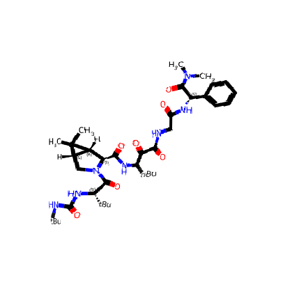 CCCCC(NC(=O)[C@@H]1[C@@H]2[C@H](CN1C(=O)[C@@H](NC(=O)NC(C)(C)C)C(C)(C)C)C2(C)C)C(=O)C(=O)NCC(=O)N[C@H](C(=O)N(C)C)c1ccccc1